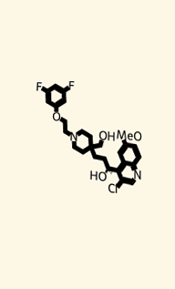 COc1ccc2ncc(Cl)c([C@H](O)CCC3(CO)CCN(CCOc4cc(F)cc(F)c4)CC3)c2c1